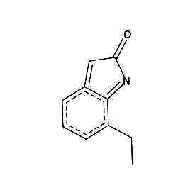 CCc1cccc2c1=NC(=O)C=2